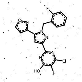 Oc1nc(-c2cc(-c3ccon3)n(Cc3ccccc3F)n2)nc(Cl)c1F